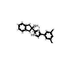 Cc1cc(C)cc(-c2c[nH]c(C3(N)Cc4ccccc4C3)n2)c1